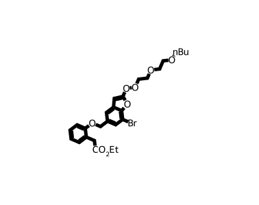 CCCCOCCOCCOOc1cc2cc(COc3ccccc3CC(=O)OCC)cc(Br)c2o1